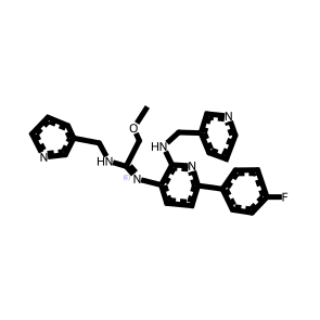 COC/C(=N\c1ccc(-c2ccc(F)cc2)nc1NCc1cccnc1)NCc1cccnc1